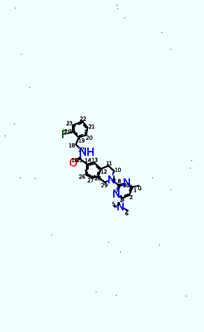 Cc1cc(N(C)C)nc(N2CCc3cc(C(=O)NCc4ccccc4F)ccc3C2)n1